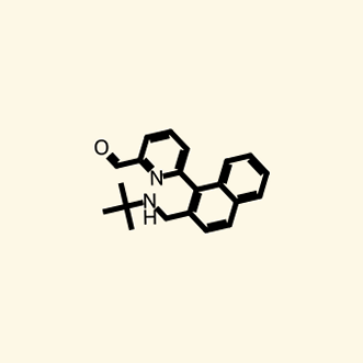 CC(C)(C)NCc1ccc2ccccc2c1-c1cccc(C=O)n1